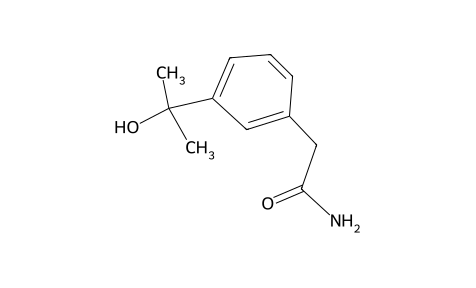 CC(C)(O)c1cccc(CC(N)=O)c1